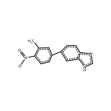 Cc1cc(-c2ccc3nc[nH]c3c2)ccc1[N+](=O)[O-]